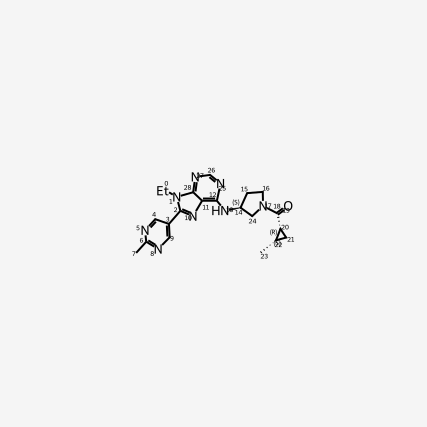 CCn1c(-c2cnc(C)nc2)nc2c(N[C@H]3CCN(C(=O)[C@@H]4C[C@@H]4C)C3)ncnc21